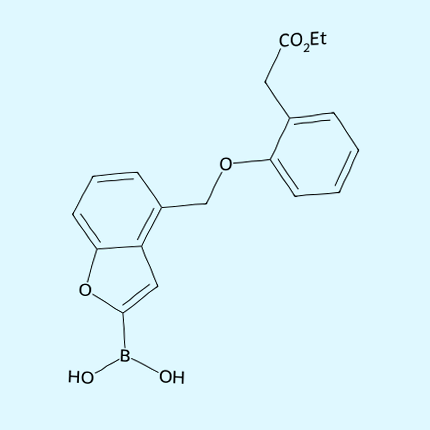 CCOC(=O)Cc1ccccc1OCc1cccc2oc(B(O)O)cc12